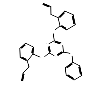 C=CCc1ccccc1Oc1nc(Oc2ccccc2)nc(Oc2ccccc2CC=C)n1